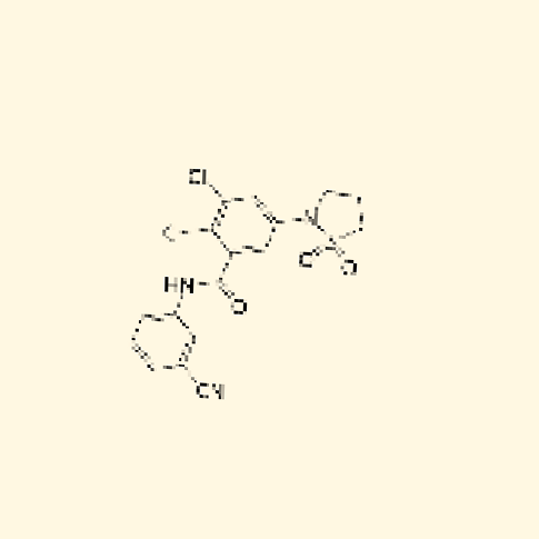 N#Cc1cccc(NC(=O)c2cc(N3CCCS3(=O)=O)cc(Cl)c2Cl)c1